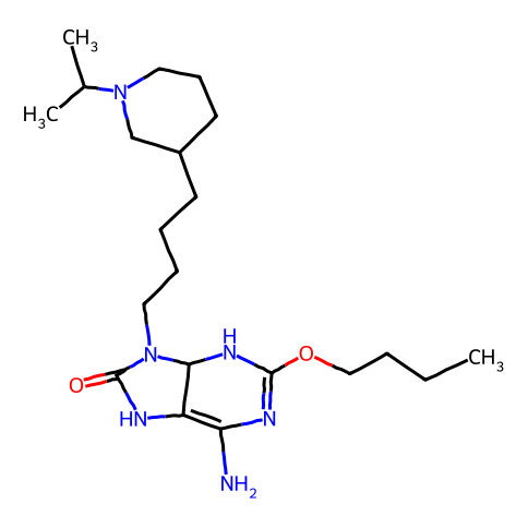 CCCCOC1=NC(N)=C2NC(=O)N(CCCCC3CCCN(C(C)C)C3)C2N1